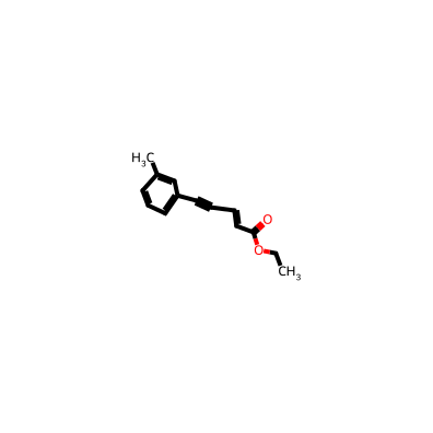 CCOC(=O)C=CC#Cc1cccc(C)c1